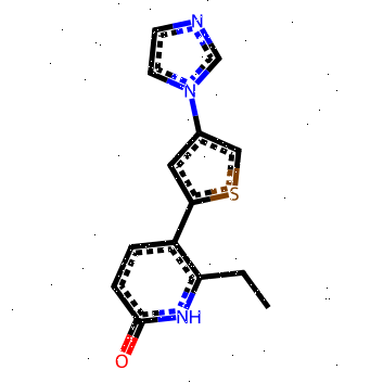 CCc1[nH]c(=O)ccc1-c1cc(-n2ccnc2)cs1